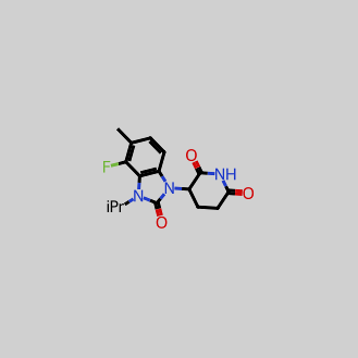 Cc1ccc2c(c1F)n(C(C)C)c(=O)n2C1CCC(=O)NC1=O